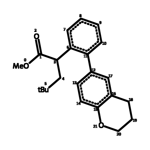 COC(=O)C(CC(C)(C)C)c1ccccc1-c1ccc2c(c1)CCCO2